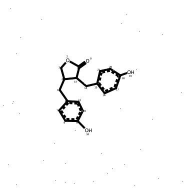 O=C1OCC(Cc2ccc(O)cc2)C1Cc1ccc(O)cc1